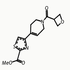 COC(=O)c1nc(C2=CCN(C(=O)C3COC3)CC2)cs1